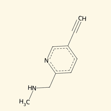 C#Cc1ccc(CNC)nc1